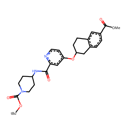 COC(=O)c1ccc2c(c1)CCC(Oc1ccnc(C(=O)NC3CCN(C(=O)OC(C)(C)C)CC3)c1)C2